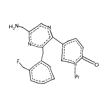 CC(C)n1cc(-c2ncc(N)nc2-c2ccccc2F)ccc1=O